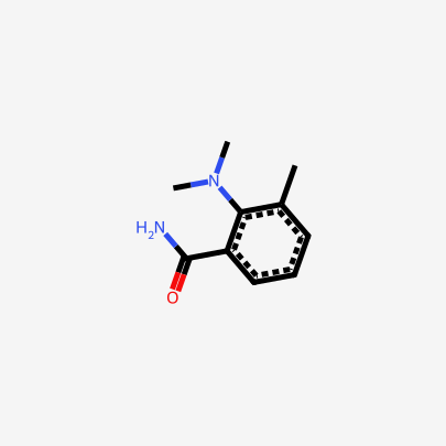 Cc1cccc(C(N)=O)c1N(C)C